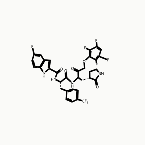 O=C(N[C@@H](Cc1ccc(C(F)(F)F)cc1)C(=O)NC(C[C@@H]1CCNC1=O)C(=O)COc1c(F)c(F)cc(F)c1F)c1cc2cc(F)ccc2[nH]1